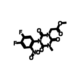 COC(=O)Cn1c(=O)n(C)c(=O)n(-c2cc(F)c(F)cc2[N+](=O)[O-])c1=O